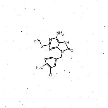 CCCSc1nc(N)c2[nH]c(=O)n(Cc3ccc(C)c(Cl)c3)c2n1